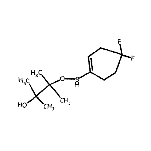 CC(C)(O)C(C)(C)OBC1=CCC(F)(F)CC1